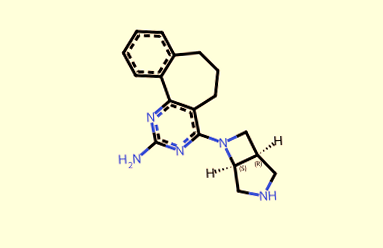 Nc1nc2c(c(N3C[C@H]4CNC[C@H]43)n1)CCCc1ccccc1-2